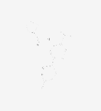 O=C(Nc1cc(-c2ccc(F)cc2)ncc1[N+](=O)[O-])N1CCCC1